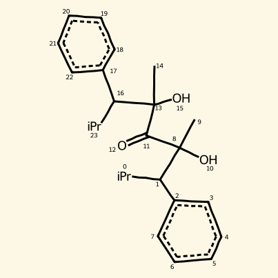 CC(C)C(c1ccccc1)C(C)(O)C(=O)C(C)(O)C(c1ccccc1)C(C)C